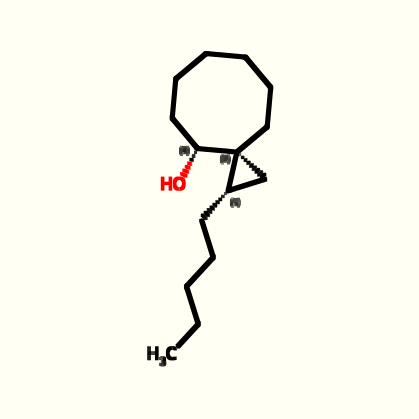 CCCCC[C@H]1C[C@]12CCCCCC[C@H]2O